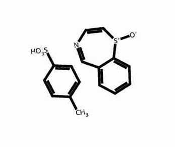 Cc1ccc(S(=O)(=O)O)cc1.[O-][S+]1C=CN=Cc2ccccc21